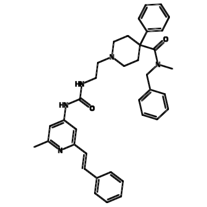 Cc1cc(NC(=O)NCCN2CCC(C(=O)N(C)Cc3ccccc3)(c3ccccc3)CC2)cc(/C=C/c2ccccc2)n1